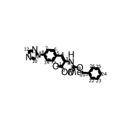 COC(=O)/C(=C\c1ccc(-n2cncn2)cc1)NC(=O)OCc1ccccc1